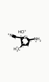 Cc1cc(N)sc1C#N.Cl